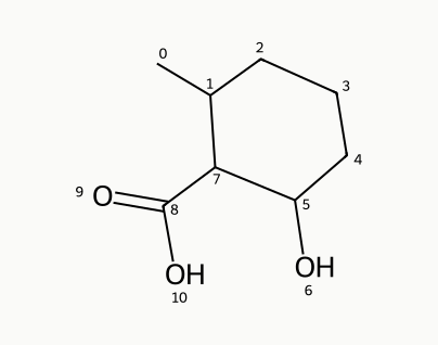 CC1CCCC(O)C1C(=O)O